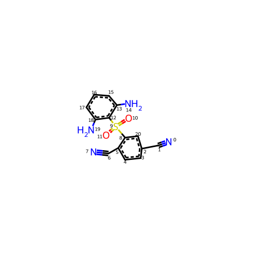 N#Cc1ccc(C#N)c(S(=O)(=O)c2c(N)cccc2N)c1